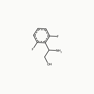 NC(CO)c1c(F)cccc1F